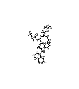 CC(C)(C)OC(=O)N[C@H]1CN(C(=O)CS(C)(=O)=O)CC[C@H]2CC[C@@H](C(=O)N[C@@H]3CCOc4ccccc43)N2C1=O